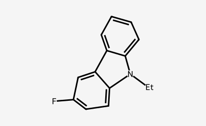 CCn1c2ccccc2c2cc(F)ccc21